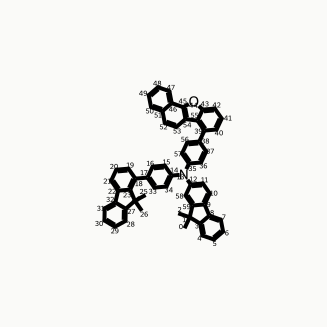 CC1(C)c2ccccc2-c2ccc(N(c3ccc(-c4cccc5c4C(C)(C)c4ccccc4-5)cc3)c3ccc(-c4cccc5oc6c7ccccc7ccc6c45)cc3)cc21